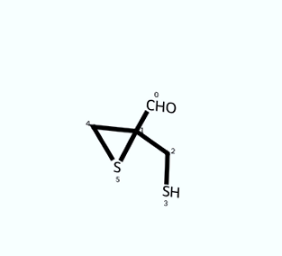 O=CC1(CS)CS1